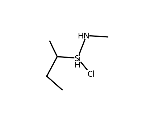 CCC(C)[SiH](Cl)NC